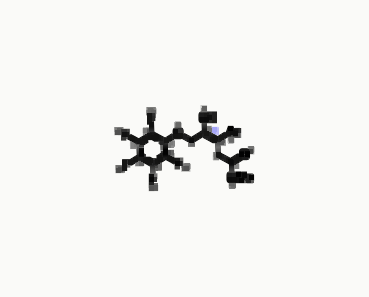 COC(=O)C/C(C(C)=O)=C(/O)COc1c(F)c(F)c(F)c(F)c1F